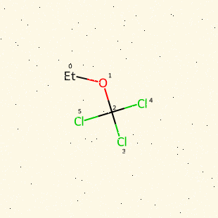 CCOC(Cl)(Cl)Cl